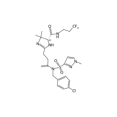 C=C(CCC1=NC(C)(C)[C@H](C(=O)NCCC(F)(F)F)N1)N(Cc1ccc(Cl)cc1)S(=O)(=O)c1ccn(C)n1